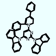 C1=C(c2ccccc2)C=C(c2ccccc2)N(c2cc(-n3c4ccccc4c4ccccc43)nc(-n3c4ccccc4c4ccccc43)n2)C1